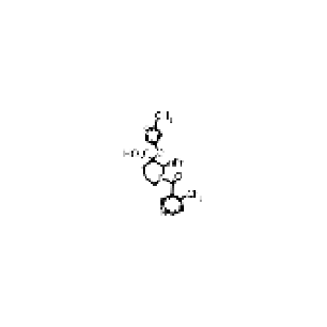 CCC[C@H]1N(C(=O)c2cnccc2C(F)(F)F)CCC[C@@]1(Oc1csc(C)c1)C(=O)O